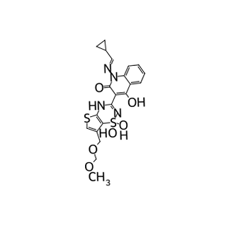 COCOCc1csc2c1S(O)(O)N=C(c1c(O)c3ccccc3n(N=CC3CC3)c1=O)N2